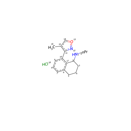 CCCNC1CCCc2cccc(-c3nocc3C)c21.Cl